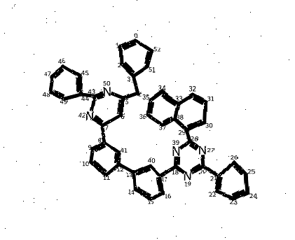 c1ccc(Cc2cc(-c3cccc(-c4cccc(-c5nc(-c6ccccc6)nc(-c6cccc7ccccc67)n5)c4)c3)nc(-c3ccccc3)n2)cc1